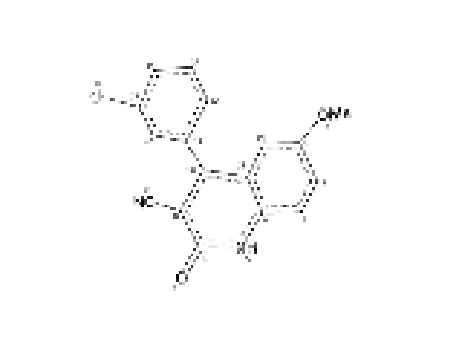 COc1ccc2[nH]c(=O)c(C#N)c(-c3cccc(Cl)c3)c2c1